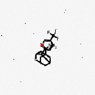 NC(=O)C12CC3CC(C1)C(c1ccc(C(F)(F)F)cn1)C(C3)C2